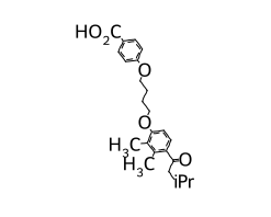 Cc1c(OCCCCOc2ccc(C(=O)O)cc2)ccc(C(=O)CC(C)C)c1C